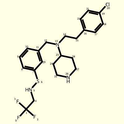 FC(F)(F)CNSc1cccc(CN(CCc2ccc(Cl)cc2)C2CCNCC2)c1